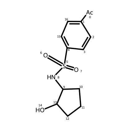 CC(=O)c1ccc(S(=O)(=O)NC2CCCC2O)cc1